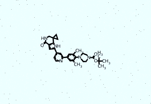 Cc1cc(-c2cc(-c3cc4c([nH]3)C3(CC3)CNC4=O)ccn2)cc(C)c1N1CCN(C(=O)OC(C)(C)C)CC1